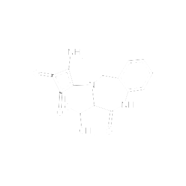 CC(C)C1C(=O)Nc2ccccc2CN1c1c(N)c(=O)c1=O